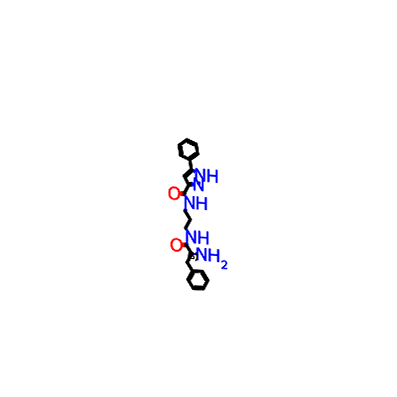 N[C@@H](Cc1ccccc1)C(=O)NCCCNC(=O)c1cc(-c2ccccc2)[nH]n1